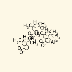 CC(C)Cc1cccc(C(=O)[O-])c1CC(C)C.CC(C)Cc1cccc(C(=O)[O-])c1CC(C)C.CC(C)Cc1cccc(C(=O)[O-])c1CC(C)C.[Al+3]